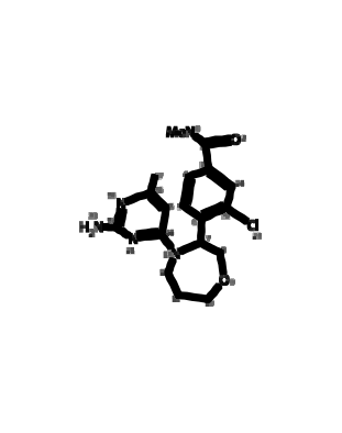 CNC(=O)c1ccc(C2COCCCN2c2cc(C)nc(N)n2)c(Cl)c1